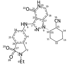 CCN1Cc2cc(Nc3nn([C@H]4CCCCC4C#N)c4cc[nH]c(=O)c34)ccc2S1(=O)=O